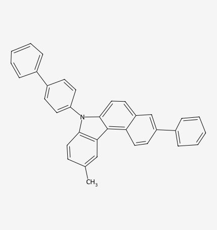 Cc1ccc2c(c1)c1c3ccc(-c4ccccc4)cc3ccc1n2-c1ccc(-c2ccccc2)cc1